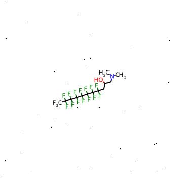 CN(C)CC(O)CC(F)(F)C(F)(F)C(F)(F)C(F)(F)C(F)(F)C(F)(F)C(F)(F)C(F)(F)F